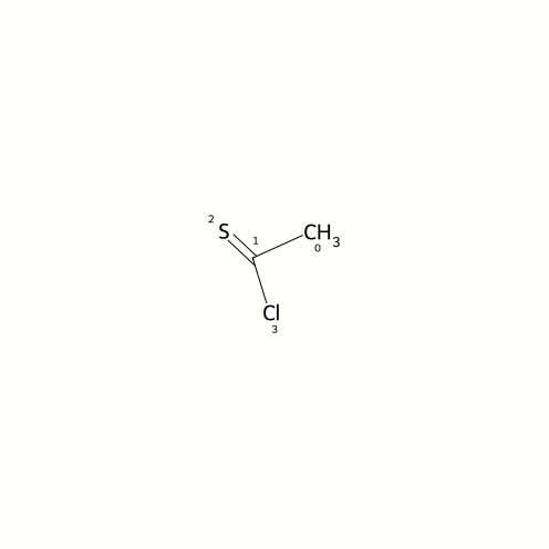 CC(=S)Cl